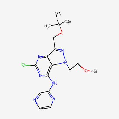 CCOCCn1nc(CO[Si](C)(C)C(C)(C)C)c2nc(Cl)nc(Nc3cnccn3)c21